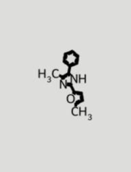 Cc1ccc(-c2nc(C)c(-c3ccccc3)[nH]2)o1